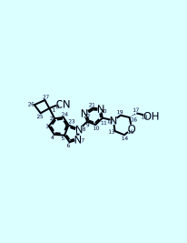 N#CC1(c2ccc3cnn(-c4cc(N5CCO[C@@H](CO)C5)ncn4)c3c2)CCC1